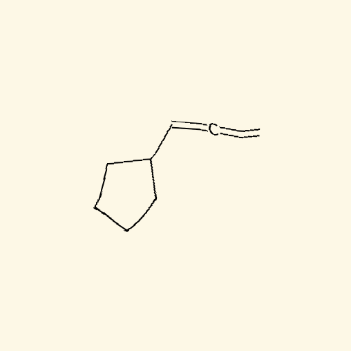 C=C=CC1CCCC1